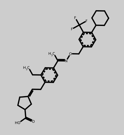 CCc1cc(/C(C)=N/OCc2ccc(C3CCCCC3)c(C(F)(F)F)c2)ccc1C/C=C1/CCC(C(=O)O)C1